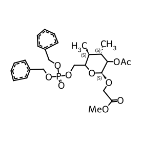 COC(=O)CO[C@H]1OC(COP(=O)(OCc2ccccc2)OCc2ccccc2)[C@@H](C)[C@H](C)C1OC(C)=O